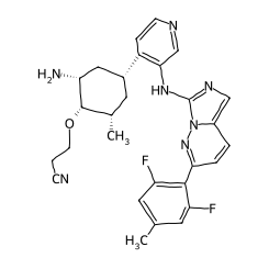 Cc1cc(F)c(-c2ccc3cnc(Nc4cnccc4[C@H]4C[C@@H](N)[C@@H](OCCC#N)[C@@H](C)C4)n3n2)c(F)c1